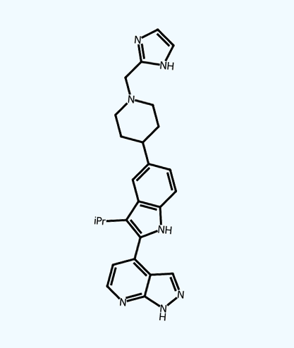 CC(C)c1c(-c2ccnc3[nH]ncc23)[nH]c2ccc(C3CCN(Cc4ncc[nH]4)CC3)cc12